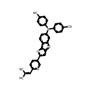 N#CC(C#N)=Cc1ccc(-c2cc3sc4cc(N(c5ccc(C#N)cc5)c5ccc(C#N)cc5)ccc4c3o2)cn1